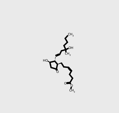 CCCCC(C)(O)C/C=C/[C@H]1[C@H](O)CC(=O)[C@@H]1CC/C=C\CCC(=O)OC